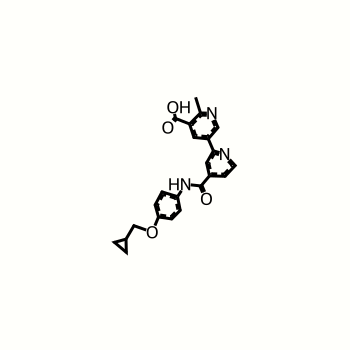 Cc1ncc(-c2cc(C(=O)Nc3ccc(OCC4CC4)cc3)ccn2)cc1C(=O)O